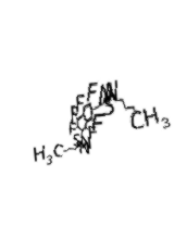 CCCCc1nnc(-c2c(F)c(F)c3c(F)c(F)c(-c4nnc(CCCC)s4)c(F)c3c2F)s1